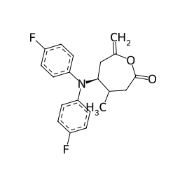 C=C1C[C@H](N(c2ccc(F)cc2)c2ccc(F)cc2)C(C)CC(=O)O1